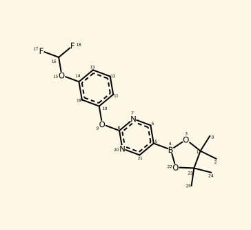 CC1(C)OB(c2cnc(Oc3cccc(OC(F)F)c3)nc2)OC1(C)C